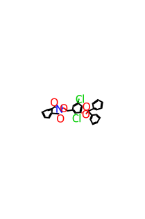 O=C1c2ccccc2C(=O)N1OCc1cc(Cl)c2c(c1Cl)OC(c1ccccc1)(c1ccccc1)O2